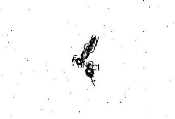 Cn1cc(S(=O)(=O)N2CCN(C3(CNC(=O)c4ccc(F)cc4Cl)CCC(F)(F)C3)CC2)nn1